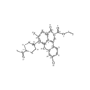 CCOC(=O)c1cn2c3c(c(N4CCN(C(C)=O)CC4)c(F)cc3c1=O)Oc1cc(Cl)ccc1-2